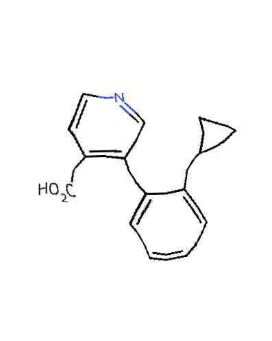 O=C(O)c1ccncc1-c1ccccc1C1CC1